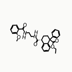 CCOC(=O)C1(c2ccccc2)CC[C@@H](C(=O)NCCNC(=O)c2ccccc2OC)c2ccccc21